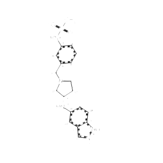 CS(=O)(=O)Nc1cccc(CN2CC[C@H](Nc3ccc4[nH]ncc4c3)C2)c1